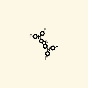 CC1(C)c2cc(N(c3ccc(F)cc3)c3ccc(F)cc3)ccc2-c2ccc(N(c3ccc(F)cc3)c3ccc(F)cc3)cc21